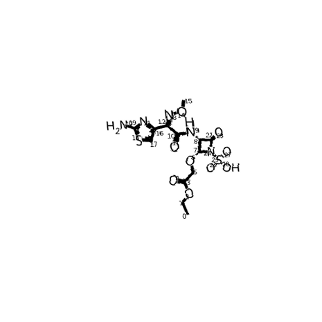 CCOC(=O)CO[C@@H]1[C@H](NC(=O)C(=NOC)c2csc(N)n2)C(=O)N1S(=O)(=O)O